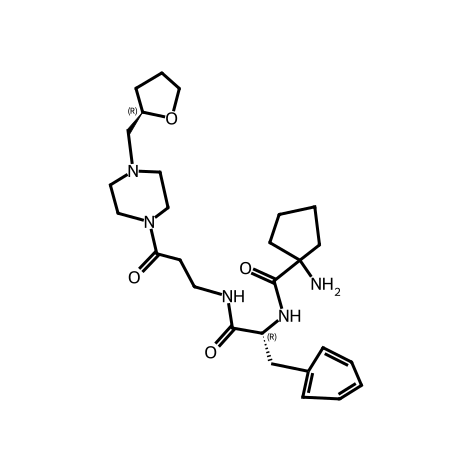 NC1(C(=O)N[C@H](Cc2ccccc2)C(=O)NCCC(=O)N2CCN(C[C@H]3CCCO3)CC2)CCCC1